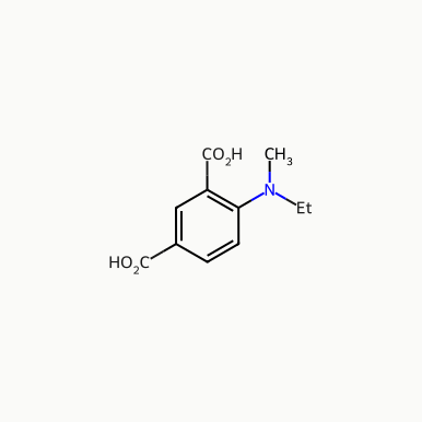 CCN(C)c1ccc(C(=O)O)cc1C(=O)O